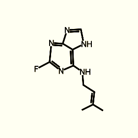 CC(C)=CCNc1nc(F)nc2nc[nH]c12